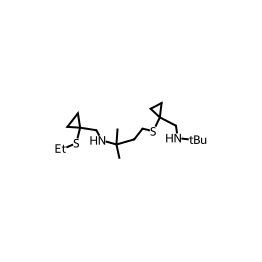 CCSC1(CNC(C)(C)CCSC2(CNC(C)(C)C)CC2)CC1